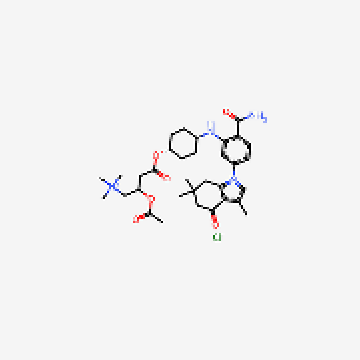 CC(=O)OC(CC(=O)O[C@H]1CC[C@H](Nc2cc(-n3cc(C)c4c3CC(C)(C)CC4=O)ccc2C(N)=O)CC1)C[N+](C)(C)C.[Cl-]